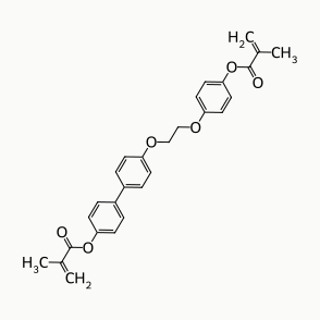 C=C(C)C(=O)Oc1ccc(OCCOc2ccc(-c3ccc(OC(=O)C(=C)C)cc3)cc2)cc1